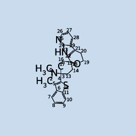 CN(C)C1(c2cc3ccccc3s2)CCC2(CC1)OCCc1c2[nH]c2ncccc12